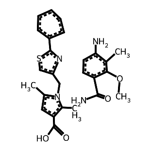 COc1c(C(N)=O)ccc(N)c1C.Cc1cc(C(=O)O)c(C)n1Cc1csc(-c2ccccc2)n1